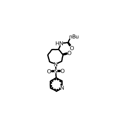 CCCCC(=O)NC1CCCN(S(=O)(=O)c2cccnc2)CC1=O